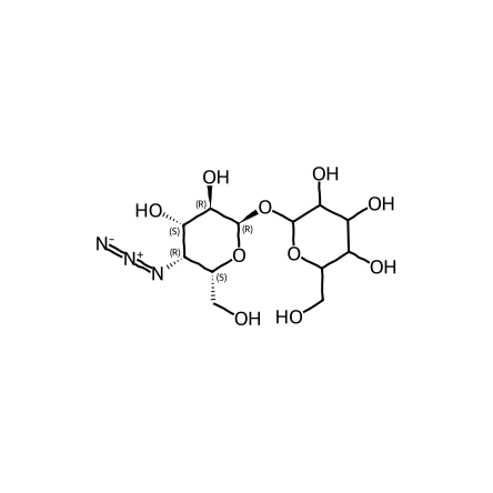 [N-]=[N+]=N[C@@H]1[C@H](O)[C@@H](O)[C@@H](OC2OC(CO)C(O)C(O)C2O)O[C@@H]1CO